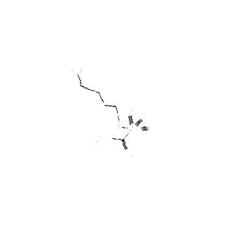 CCCC[C](=O)[Mo](=[O])(=[O])(=[O])[PH]CCCCC=O.[V]